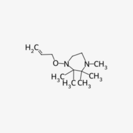 C=CCON1CCN(C)C(C)(C)C1(C)C